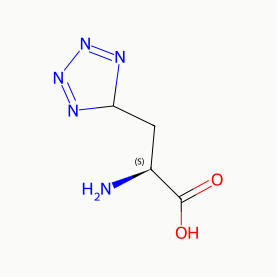 N[C@@H](CC1N=NN=N1)C(=O)O